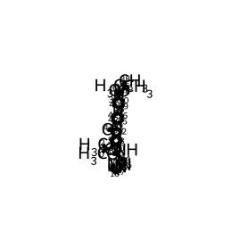 CC(C)Oc1cc2c(cc1NC(=O)c1cnn3cccnc13)CN([C@H]1CC[C@H](N3CCN(C(=O)OC(C)(C)C)CC3)CC1)C2=O